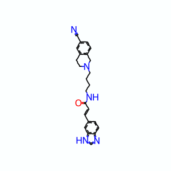 N#Cc1ccc2c(c1)CCN(CCCCNC(=O)C=Cc1ccc3nc[nH]c3c1)C2